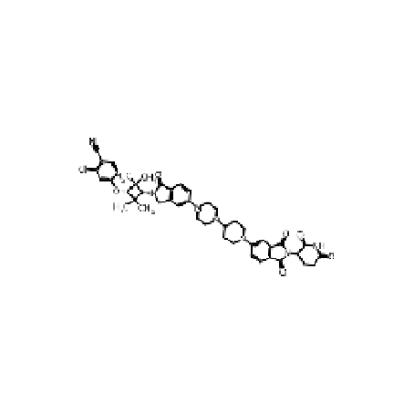 CC1(C)[C@H](Oc2ccc(C#N)c(Cl)c2)C(C)(C)[C@H]1N1Cc2cc(N3CCN(C4CCN(c5ccc6c(c5)C(=O)N(C5CCC(=O)NC5=O)C6=O)CC4)CC3)ccc2C1=O